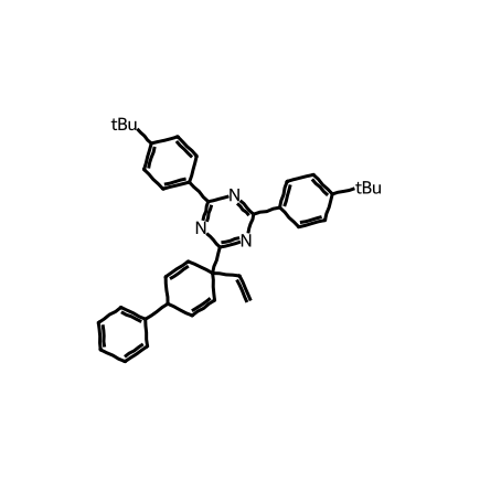 C=CC1(c2nc(-c3ccc(C(C)(C)C)cc3)nc(-c3ccc(C(C)(C)C)cc3)n2)C=CC(c2ccccc2)C=C1